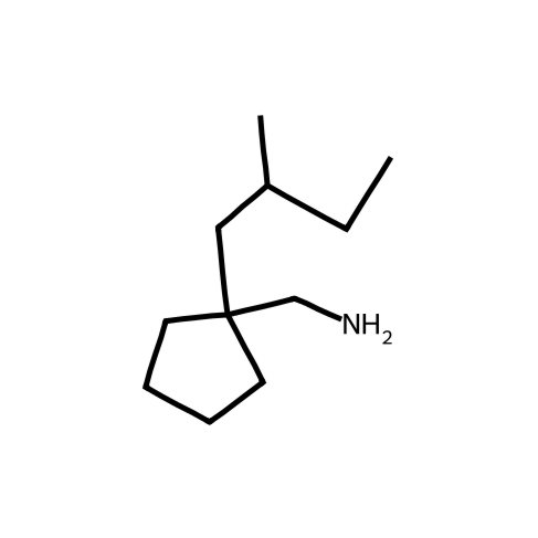 CCC(C)CC1(CN)CCCC1